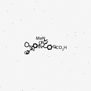 CNc1nc(C(Cc2ccc(OCC(=O)O)cc2)NC(=O)c2ccc3c(c2)nc(-c2ccoc2)n3C2CCCCC2)cs1